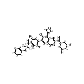 O=c1c(-c2cc(F)c(NS(=O)(=O)Cc3ccccc3)c(F)c2F)cc2cnc(N[C@@H]3CNC[C@@H](F)C3)nc2n1C1COC1